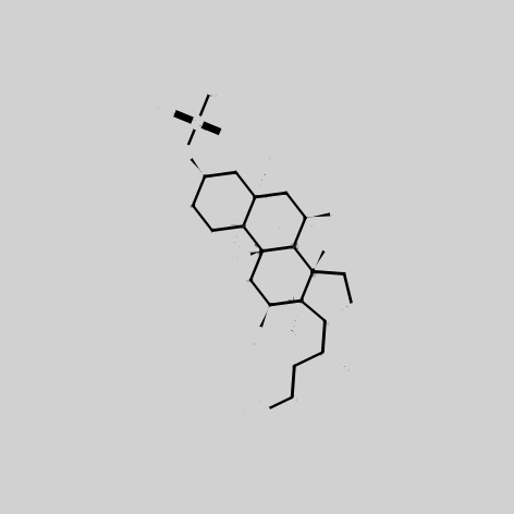 C[C@H](CCC(=O)O)[C@H]1CC[C@H]2[C@@H]3[C@H](O)C[C@@H]4C[C@H](OS(C)(=O)=O)CC[C@]4(C)[C@H]3C[C@H](O)[C@]12C